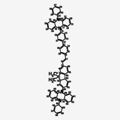 CC1(C)c2cc(/C=C/c3ccc(-c4ccc(N5c6ccccc6N(c6ccccc6)c6ccccc65)cc4)cc3)ccc2C2C=CC(N3c4ccccc4N(C4C=CC=CC4)c4ccccc43)=CC21